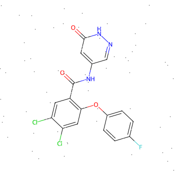 O=C(Nc1cn[nH]c(=O)c1)c1cc(Cl)c(Cl)cc1Oc1ccc(F)cc1